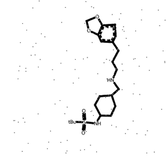 CC(C)(C)S(=O)(=O)NC1CCC(CNCCCc2ccc3c(c2)OCO3)CC1